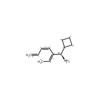 C=C/C=C\C(=C/C)[C@H](N)C1CCC1